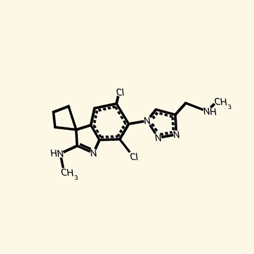 CNCc1cn(-c2c(Cl)cc3c(c2Cl)N=C(NC)C32CCC2)nn1